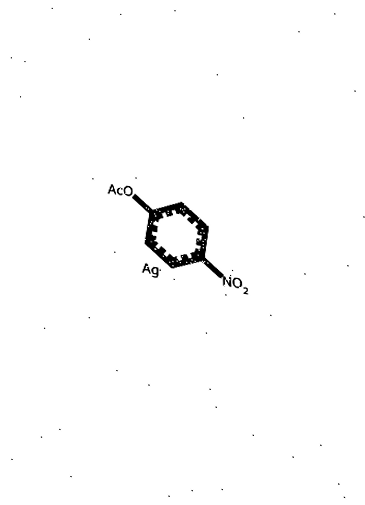 CC(=O)Oc1ccc([N+](=O)[O-])cc1.[Ag]